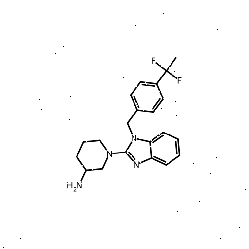 CC(F)(F)c1ccc(Cn2c(N3CCCC(N)C3)nc3ccccc32)cc1